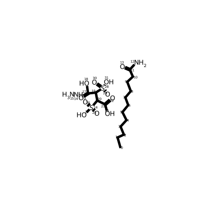 CCCCCCCCCCCC(N)=O.N.N.O=C(O)C(C(C(=O)O)S(=O)(=O)O)S(=O)(=O)O